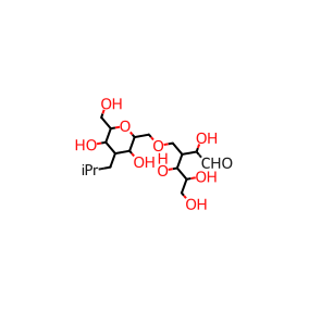 CC(C)CC1C(O)C(CO)OC(COCC(C(O)C=O)C(O)C(O)CO)C1O